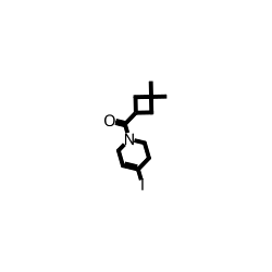 CC1(C)CC(C(=O)N2CC=C(I)CC2)C1